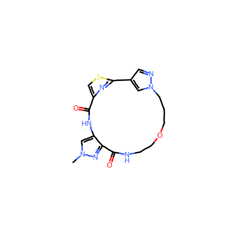 Cn1cc2c(n1)C(=O)NCCOCCCn1cc(cn1)-c1nc(cs1)C(=O)N2